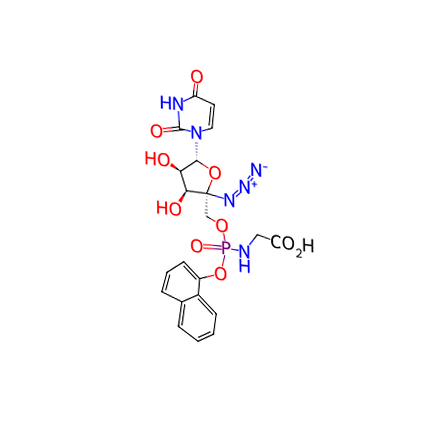 [N-]=[N+]=N[C@]1(COP(=O)(NCC(=O)O)Oc2cccc3ccccc23)O[C@@H](n2ccc(=O)[nH]c2=O)[C@H](O)[C@@H]1O